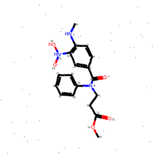 CNc1ccc(C(=O)N(CCC(=O)OC)c2ccccc2)cc1[NH+]([O-])O